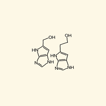 OCCc1cc2[nH]cnc2[nH]1.OCc1cc2[nH]cnc2[nH]1